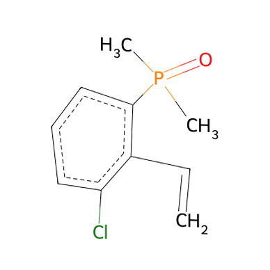 C=Cc1c(Cl)cccc1P(C)(C)=O